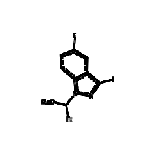 CCC(OC)n1nc(I)c2cc(F)ccc21